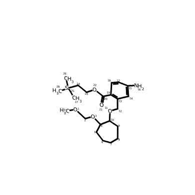 COCOC1CCCCCC1OCc1cc(N)ccc1C(=O)OCC[Si](C)(C)C